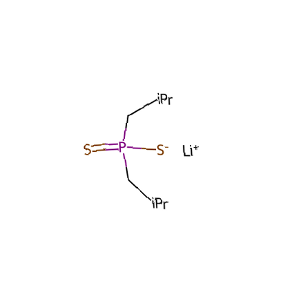 CC(C)CP(=S)([S-])CC(C)C.[Li+]